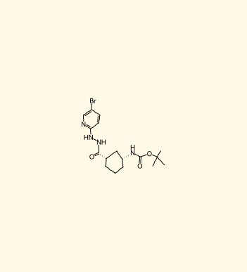 CC(C)(C)OC(=O)N[C@@H]1CCC[C@H](C(=O)NNc2ccc(Br)cn2)C1